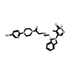 Cc1c(N2Cc3ccccc3[C@@H]2CCNCC(=O)N2CCN(c3ccc(C#N)cn3)CC2)cn[nH]c1=O